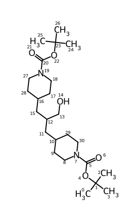 CC(C)(C)OC(=O)N1CCC(CC(CO)CC2CCN(C(=O)OC(C)(C)C)CC2)CC1